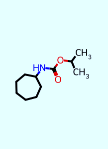 CC(C)OC(=O)NC1CCCCCC1